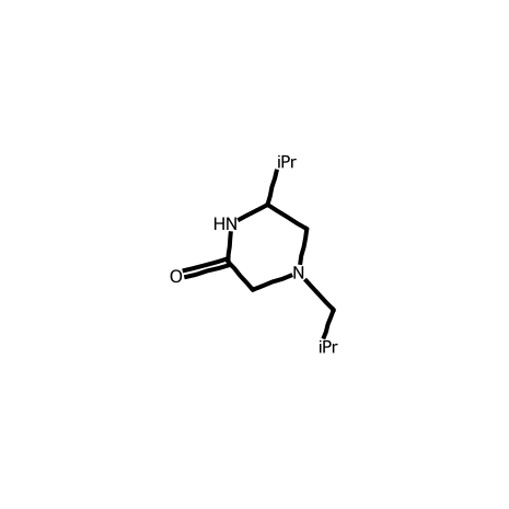 CC(C)CN1CC(=O)NC(C(C)C)C1